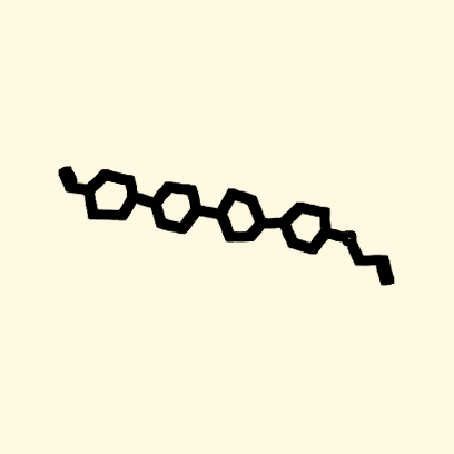 C=CCOC1CCC(C2CCC(C3CCC(C4CCC(C=C)CC4)CC3)CC2)CC1